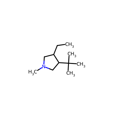 CCC1CN(C)CC1C(C)(C)C